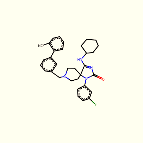 N#Cc1ccccc1-c1cccc(CN2CCC3(CC2)C(NC2CCCCC2)=NC(=O)N3c2cccc(F)c2)c1